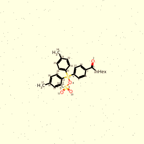 CCCCCCC(=O)c1ccc(S(OS(=O)(=O)C(F)(F)F)(c2ccc(C)cc2)c2ccc(C)cc2)cc1